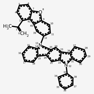 C=C(C)c1cccc2oc3ccc(-n4c5ccccc5c5cc6c(cc54)c4ccccc4n6-c4ccccc4)cc3c12